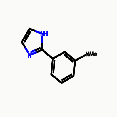 CNc1cccc(-c2ncc[nH]2)c1